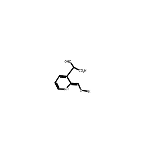 CCOC=C1NC=CC=C1C(C=O)C(=O)O